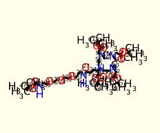 CC(C)(C)OC(=O)CN1CCN(CC(=O)OC(C)(C)C)CCN(C(CCC(=O)NCCOCCOCCOCCNC(=O)OC(C)(C)C)C(=O)OC(C)(C)C)CCN(CC(=O)OC(C)(C)C)CC1